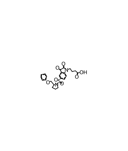 O=C(O)CCCN1C(=O)C(=O)c2cc(S(=O)(=O)N3CCCC3COc3ccccc3)ccc21